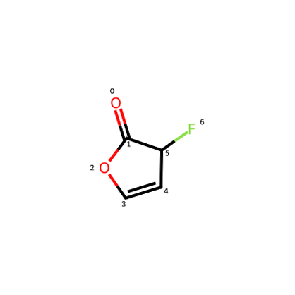 O=C1OC=CC1F